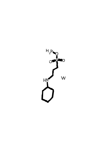 O=S(=O)(CCCNC1CCCCC1)OP.[W]